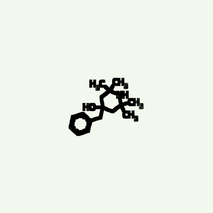 CC1(C)CC(O)(Cc2ccccc2)CC(C)(C)N1